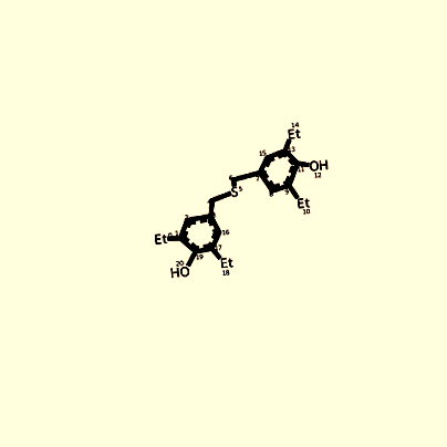 CCc1cc(CSCc2cc(CC)c(O)c(CC)c2)cc(CC)c1O